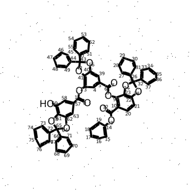 O=C(Oc1cc(C(=O)Oc2c(C(=O)Oc3ccccc3)ccc3c2OC(c2ccccc2)(c2ccccc2)O3)cc2c1OC(c1ccccc1)(c1ccccc1)O2)c1cc(O)c2c(c1)OC(c1ccccc1)(c1ccccc1)O2